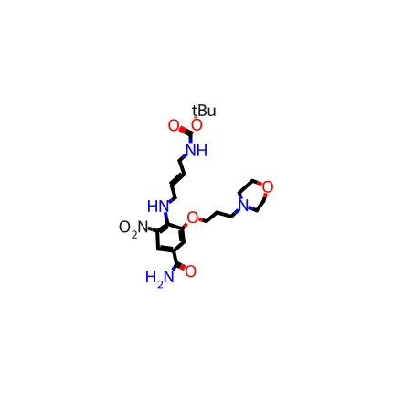 CC(C)(C)OC(=O)NC/C=C/CNc1c(OCCCN2CCOCC2)cc(C(N)=O)cc1[N+](=O)[O-]